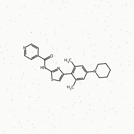 Cc1cc(N2CCCCC2)cc(C)c1-c1csc(NC(=O)c2ccncc2)n1